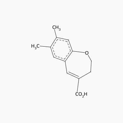 Cc1cc2c(cc1C)OCCC(C(=O)O)=C2